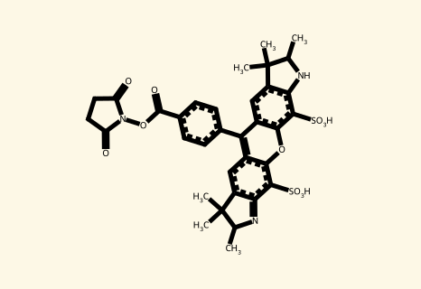 CC1N=c2c(cc3c(c2S(=O)(=O)O)Oc2c(cc4c(c2S(=O)(=O)O)NC(C)C4(C)C)C=3c2ccc(C(=O)ON3C(=O)CCC3=O)cc2)C1(C)C